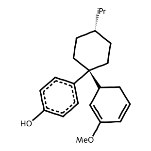 COC1=CC([C@]2(c3ccc(O)cc3)CC[C@@H](C(C)C)CC2)CC=C1